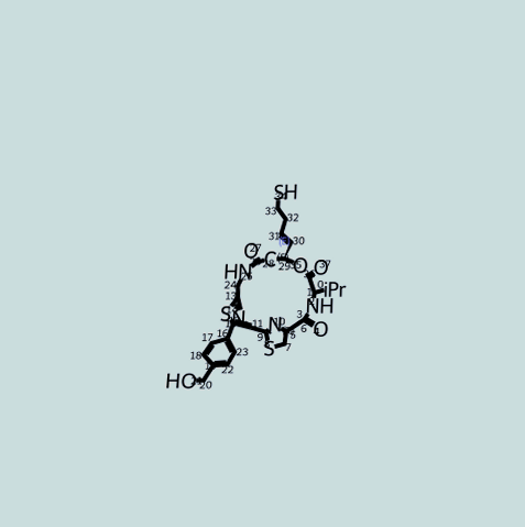 CC(C)C1NC(=O)[C@]2(C)CSC(=N2)c2nc(sc2-c2ccc(CO)cc2)CNC(=O)C[C@@H](/C=C/CCS)OC1=O